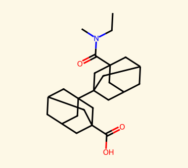 CCN(C)C(=O)C12CC3CC(C1)CC(C14CC5CC(CC(C(=O)O)(C5)C1)C4)(C3)C2